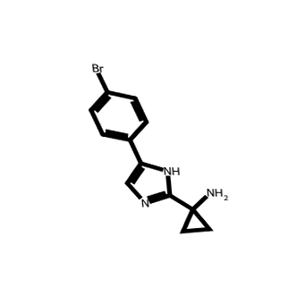 NC1(c2ncc(-c3ccc(Br)cc3)[nH]2)CC1